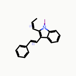 C/C=C\c1c(/C=C/c2ccccc2)c2ccccc2n1I